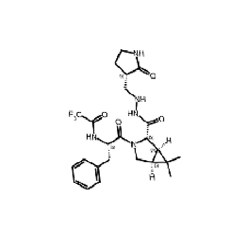 CC1(C)[C@@H]2[C@@H](C(=O)NNC[C@@H]3CCNC3=O)N(C(=O)[C@H](Cc3ccccc3)NC(=O)C(F)(F)F)C[C@@H]21